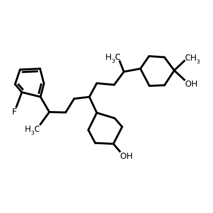 CC(CCC(CCC(C)C1CCC(C)(O)CC1)C1CCC(O)CC1)c1ccccc1F